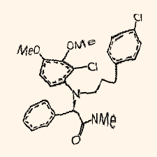 CNC(=O)[C@@H](c1ccccc1)N(CCCc1ccc(Cl)cc1)c1ccc(OC)c(OC)c1Cl